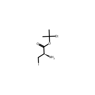 CCC(C)(C)OC(=O)[C@@H](N)CI